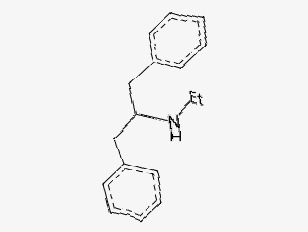 CCNC(Cc1ccccc1)Cc1ccccc1